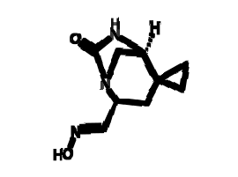 O=C1N[C@@H]2CN1[C@H](/C=N/O)CC21CC1